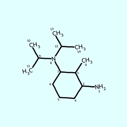 CC1C(N)CCCC1N(C(C)C)C(C)C